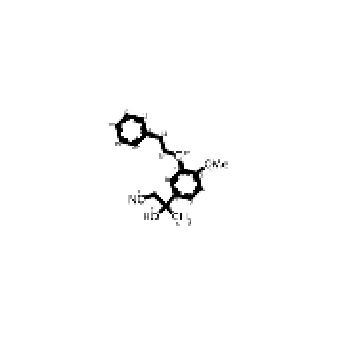 COc1ccc(C(C)(O)CC#N)cc1OCCc1ccccc1